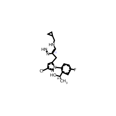 C[C@@H](O)c1cc(F)ccc1-n1nc(Cl)cc1C/C(=C/NCC1CC1)N=N